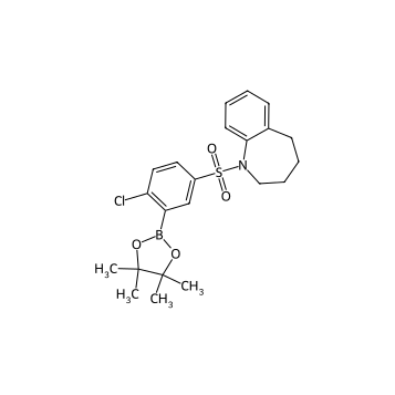 CC1(C)OB(c2cc(S(=O)(=O)N3CCCCc4ccccc43)ccc2Cl)OC1(C)C